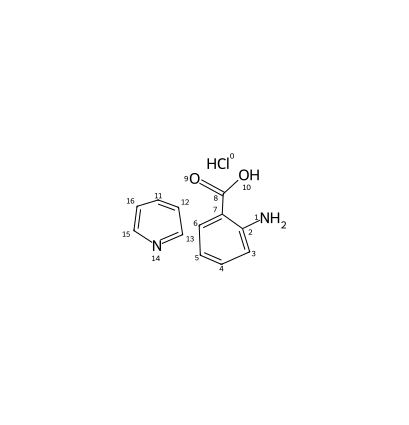 Cl.Nc1ccccc1C(=O)O.c1ccncc1